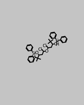 CC(C)(C)C(CC(Cl)OC(Cl)CC(O[SiH](c1ccccc1)c1ccccc1)C(C)(C)C)O[SiH](c1ccccc1)c1ccccc1